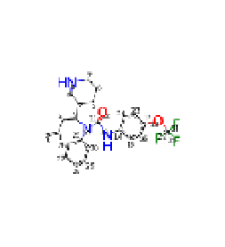 C=CCC(C1CCCNC1)N(C(=O)Nc1ccc(OC(F)(F)F)cc1)c1ccccc1